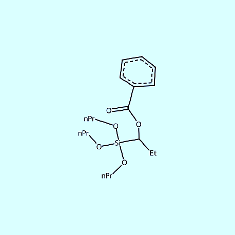 CCCO[Si](OCCC)(OCCC)C(CC)OC(=O)c1ccccc1